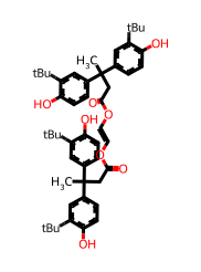 CC(C)(C)c1cc(C(C)(CC(=O)OC=COC(=O)CC(C)(c2ccc(O)c(C(C)(C)C)c2)c2ccc(O)c(C(C)(C)C)c2)c2ccc(O)c(C(C)(C)C)c2)ccc1O